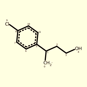 [CH2]C(CCO)c1ccc(Cl)cc1